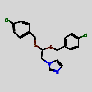 Clc1ccc(CSC(Cn2ccnc2)SCc2ccc(Cl)cc2)cc1